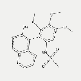 COc1cc(NS(C)(=O)=O)c(-c2c(O)ccc3ccccc23)c(OC)c1OC